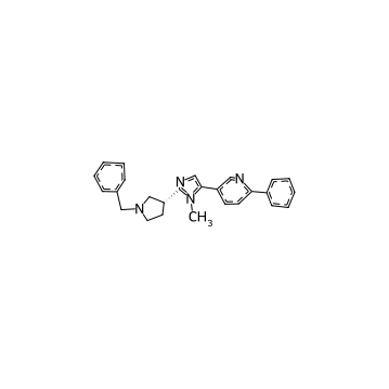 Cn1c(-c2ccc(-c3ccccc3)nc2)cnc1[C@@H]1CCN(Cc2ccccc2)C1